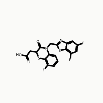 O=C(O)CC1Sc2c(F)cccc2N(Cc2nc3cc(F)cc(F)c3s2)C1=O